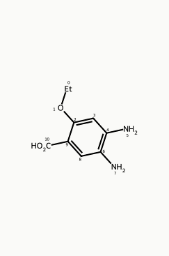 CCOc1cc(N)c(N)cc1C(=O)O